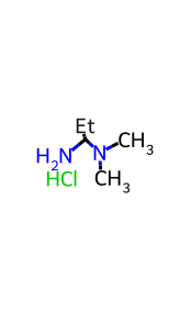 CCC(N)N(C)C.Cl